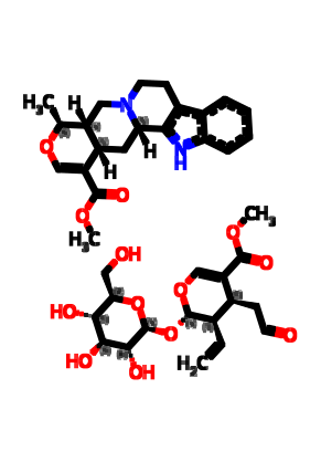 C=C[C@H]1[C@H](O[C@@H]2O[C@H](CO)[C@@H](O)[C@H](O)[C@H]2O)OC=C(C(=O)OC)[C@H]1CC=O.COC(=O)C1=CO[C@@H](C)[C@@H]2CN3CCc4c([nH]c5ccccc45)[C@@H]3C[C@H]12